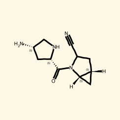 N#CC1C[C@@H]2C[C@@H]2N1C(=O)[C@@H]1C[C@H](N)CN1